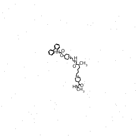 CNC(=O)C1CCN(CCCCC(C)C(=O)NCCN2CCC(OC(=O)Nc3ccccc3-c3ccccc3)CC2)CC1